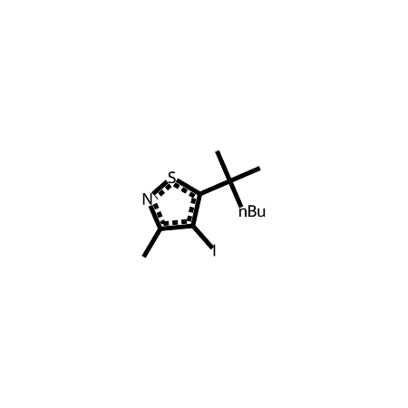 CCCCC(C)(C)c1snc(C)c1I